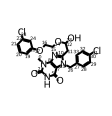 Cn1c(=O)[nH]c(=O)c2c1nc(CC(O)OCCOc1cccc(Cl)c1)n2Cc1ccc(Cl)cc1